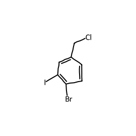 ClCc1ccc(Br)c(I)c1